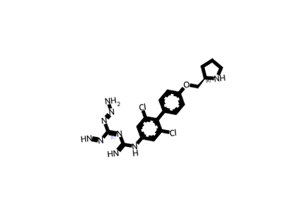 N=N/C(N=NN)=N\C(=N)Nc1cc(Cl)c(-c2ccc(OC[C@H]3CCCN3)cc2)c(Cl)c1